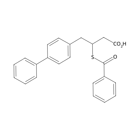 O=C(O)CC(Cc1ccc(-c2ccccc2)cc1)SC(=O)c1ccccc1